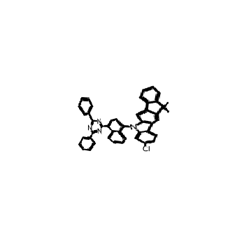 CC1(C)c2ccccc2-c2cc3c(cc21)c1ccc(Cl)cc1n3-c1ccc(-c2nc(-c3ccccc3)nc(-c3ccccc3)n2)c2ccccc12